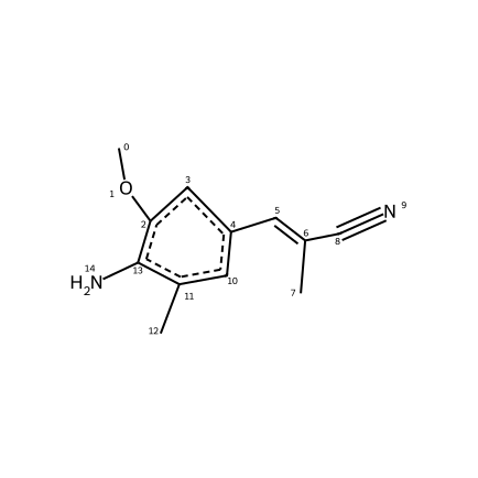 COc1cc(/C=C(\C)C#N)cc(C)c1N